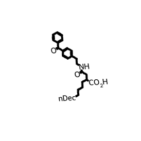 CCCCCCCCCCCCCCC(CC(=O)NCCc1ccc(C(=O)c2ccccc2)cc1)C(=O)O